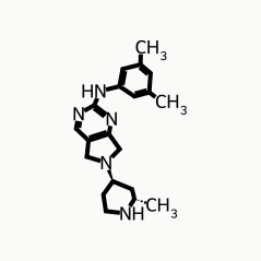 Cc1cc(C)cc(Nc2ncc3c(n2)CN([C@@H]2CCN[C@@H](C)C2)C3)c1